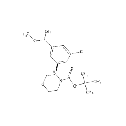 COC(O)c1cc(Cl)cc([C@@H]2COCCN2C(=O)OC(C)(C)C)c1